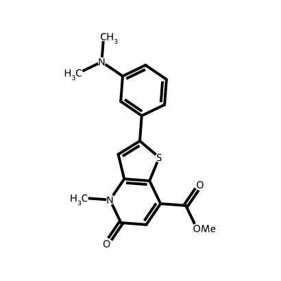 COC(=O)c1cc(=O)n(C)c2cc(-c3cccc(N(C)C)c3)sc12